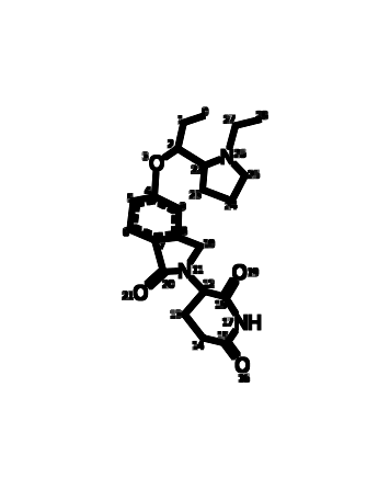 CCC(Oc1ccc2c(c1)CN(C1CCC(=O)NC1=O)C2=O)C1CCCN1CC